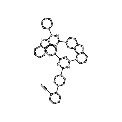 N#Cc1ccccc1-c1ccc(-c2nc(-c3ccccc3)nc(-c3cccc4sc5ccc(-c6nc(-c7ccccc7)c7sc8ccccc8c7n6)cc5c34)n2)cc1